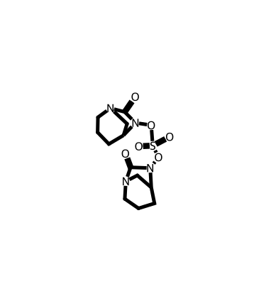 O=C1N2CCCC(C2)N1OS(=O)(=O)ON1C(=O)N2CCCC1C2